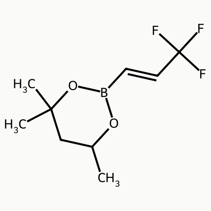 CC1CC(C)(C)OB(C=CC(F)(F)F)O1